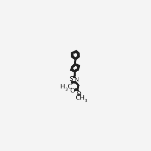 COC(=O)Cc1nc(-c2ccc(-c3ccccc3)cc2)sc1C